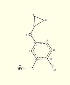 CC(C)Cc1cc(OC2CC2)ccc1F